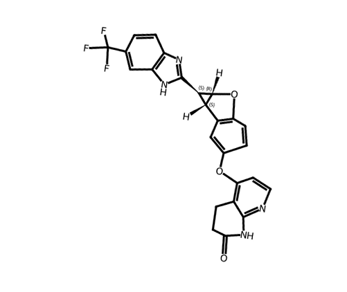 O=C1CCc2c(Oc3ccc4c(c3)[C@H]3[C@@H](O4)[C@@H]3c3nc4ccc(C(F)(F)F)cc4[nH]3)ccnc2N1